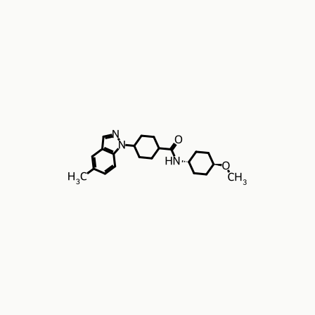 CO[C@H]1CC[C@H](NC(=O)C2CCC(n3ncc4cc(C)ccc43)CC2)CC1